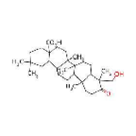 CC1(C)CCC2(C(=O)O)CCC3(C)C(=CCC4C5(C)CCC(=O)C(C)(CO)C5CCC43C)C2C1